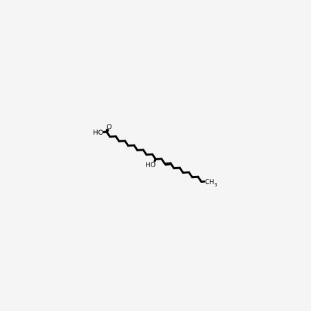 CCCCCCCCC=CCC(O)CCCCCCCCCCC(=O)O